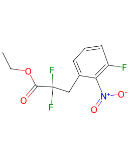 CCOC(=O)C(F)(F)Cc1cccc(F)c1[N+](=O)[O-]